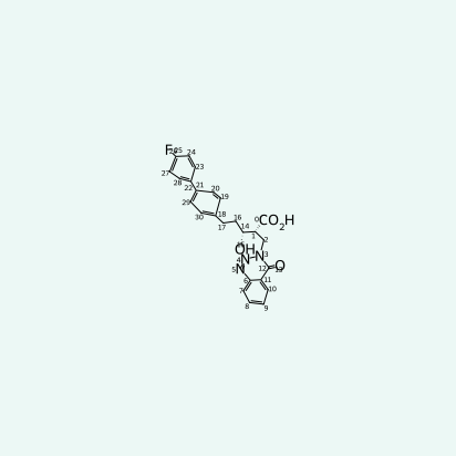 O=C(O)[C@H](Cn1nnc2ccccc2c1=O)[C@H](O)CCc1ccc(-c2ccc(F)cc2)cc1